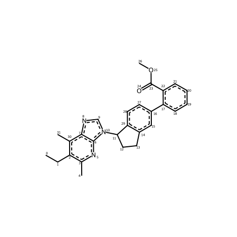 CCc1c(C)nc2c(ncn2C2CCc3cc(-c4ccccc4C(=O)OC)ccc32)c1C